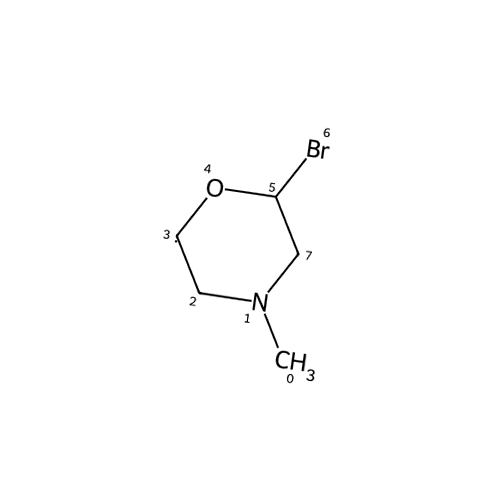 CN1C[CH]OC(Br)C1